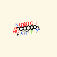 CCN[C@@H]1C(O)=C(C(N)=O)C(=O)[C@@]2(O)C(O)=C3C(=O)c4c(O)c5c(c(F)c4C[C@H]3C[C@@H]12)C1C(CCN1C)C5